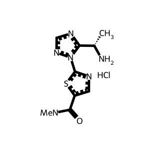 CNC(=O)c1cnc(-n2ncnc2[C@H](C)N)s1.Cl